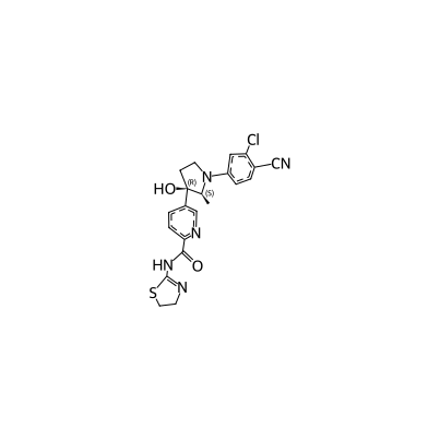 C[C@@H]1N(c2ccc(C#N)c(Cl)c2)CC[C@@]1(O)c1ccc(C(=O)NC2=NCCS2)nc1